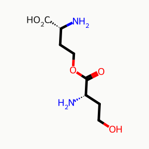 N[C@H](CCOC(=O)[C@@H](N)CCO)C(=O)O